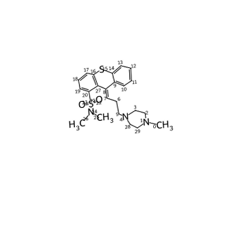 CN1CCN(CCC=C2c3ccccc3Sc3cccc(S(=O)(=O)N(C)C)c32)CC1